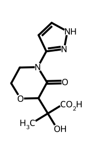 CC(O)(C(=O)O)C1OCCN(c2cc[nH]n2)C1=O